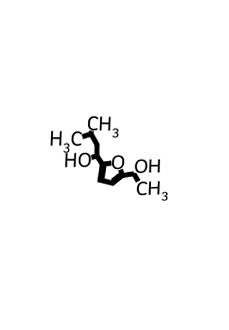 CC(C)CC(O)c1ccc(C(C)O)o1